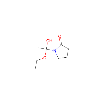 CCOC(C)(O)N1CCCC1=O